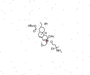 CCCCOC(=O)[C@@H]1[C@@](C)([C@H](C)C(C)C)CC[C@]2(C)[C@H]3CC[C@@H]4[C@@]5(COC[C@]4(C)[C@@H](OCCC(C)(N)CC)[C@H](OC(C)=O)C5)C3=CC[C@@]12C